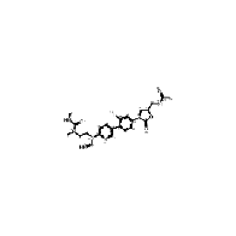 CNC(=O)N(C)CCN(C=N)c1ccc(-c2ccc(N3CC(CNC(C)=O)OC3=O)cc2F)cn1